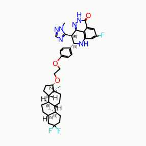 Cn1ncnc1[C@H]1c2n[nH]c(=O)c3cc(F)cc(c23)N[C@@H]1c1ccc(OCCO[C@H]2CC[C@H]3[C@@H]4CC[C@H]5CC(F)(F)CC[C@]5(C)[C@H]4CC[C@]23C)cc1